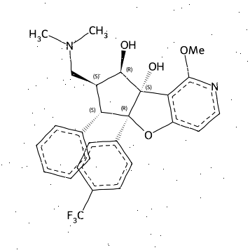 COc1nccc2c1[C@]1(O)[C@H](O)[C@H](CN(C)C)[C@@H](c3ccccc3)[C@]1(c1ccc(C(F)(F)F)cc1)O2